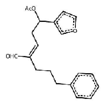 CC(=O)OC(CC=C(C=O)CCCc1ccccc1)c1ccoc1